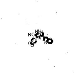 N#Cc1c(N2CCS(=O)(=O)CC2)nc2c(-c3cnc4ccccc4c3)cnn2c1N